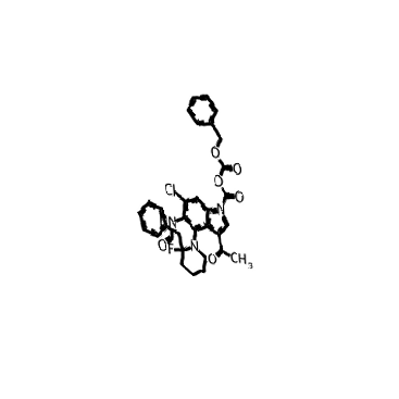 CC(=O)c1cn(C(=O)OC(=O)OCc2ccccc2)c2cc(Cl)c(NC=O)c(N3CCCCC3(F)Cc3ccccc3)c12